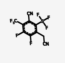 N#CCc1c(F)c(F)c(C(F)(F)F)c(C#N)c1S(F)(F)F